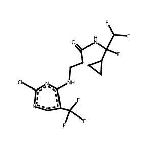 O=C(CCNc1nc(Cl)ncc1C(F)(F)F)NC(F)(C(F)F)C1CC1